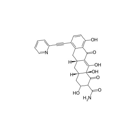 NC(=O)C1C(=O)[C@@]2(O)C(O)=C3C(=O)c4c(O)ccc(C#Cc5ccccn5)c4C[C@H]3C[C@H]2CC1O